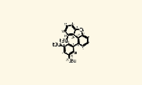 CC(C)(C)c1cc(-c2cccc3oc4cccc(C(C)(C)C)c4c23)cc(C(C)(C)C)c1